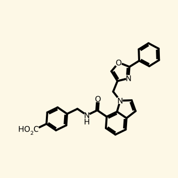 O=C(O)c1ccc(CNC(=O)c2cccc3ccn(Cc4coc(-c5ccccc5)n4)c23)cc1